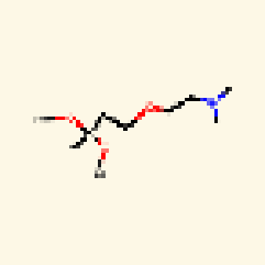 CCO[Si](C)(CCOCCN(C)C)OCC